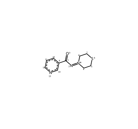 O=C(N=[N+]1CCSCC1)c1cccnc1